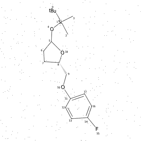 CC(C)(C)[Si](C)(C)OC1CC[C@@H](COc2ccc(F)cc2)O1